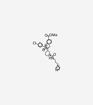 COC(=O)c1ccc(CN(C2CCCN(C(=O)NCCCn3ccnc3)C2)S(=O)(=O)c2ccc(Cl)cc2)cc1